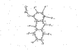 [O]=[Al][O]c1c(F)c(F)c(F)c2c(F)c3c(F)c(F)c(F)c(F)c3c(F)c12